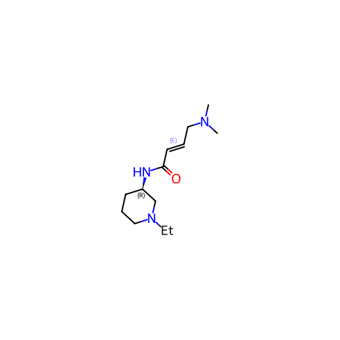 CCN1CCC[C@@H](NC(=O)/C=C/CN(C)C)C1